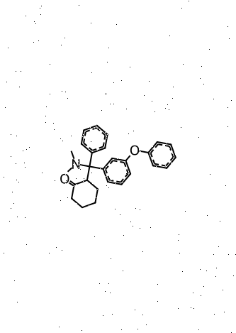 CN(C)C(c1ccccc1)(c1cccc(Oc2ccccc2)c1)C1CCCCC1=O